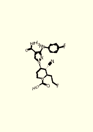 N#C[C@@H]1C(CCF)N(C(=O)O)CC[C@H]1n1cc(C(N)=O)c(Nc2ccc(F)cc2)n1